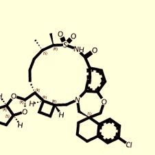 C[C@@H]1[C@@H](C)CCC[C@@H]([C@@H]2O[C@H]3CN(C)C[C@H]3O2)[C@@H]2CC[C@H]2CN2C[C@@]3(CCCc4cc(Cl)ccc43)COc3ccc(cc32)C(=O)NS1(=O)=O